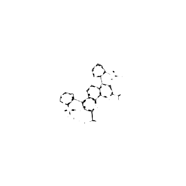 O=C(O)c1cc(-c2ccccc2S(=O)(=O)O)c2ccc3c(-c4ccccc4S(=O)(=O)O)cc(C(=O)O)nc3c2n1